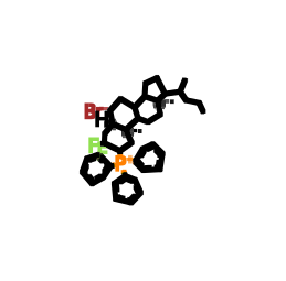 CCCC(C)C1CCC2C3CC[C@@H]4CC(F)(F)C([P+](c5ccccc5)(c5ccccc5)c5ccccc5)C[C@]4(C)C3CC[C@]12C.[Br-]